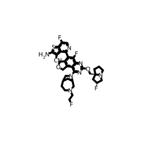 N#Cc1c(N)sc2c(F)cnc(-c3c4c(c5c(N6CC7CCN(CCF)CC6C7)nc(OC[C@@]67CCCN6C[C@H](F)C7)nc5c3F)COC4)c12